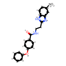 O=C(NCCc1nc2cc([N+](=O)[O-])ccc2[nH]1)c1ccc(Oc2ccccc2)cc1